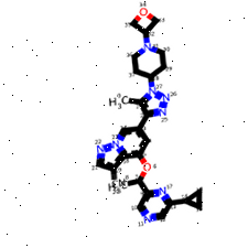 Cc1c(-c2cc(OC(C)c3cncc(C4CC4)n3)c3c(C#N)cnn3c2)nnn1C1CCN(C2COC2)CC1